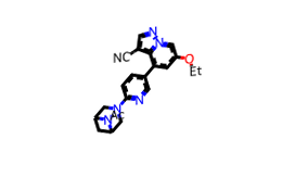 CCOc1cc(-c2ccc(N3CC4CC(C3)N4C(C)=O)nc2)c2c(C#N)cnn2c1